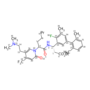 CCOC(=O)C[C@H](NC(=O)C(CCC(C)C)n1cc(CCN(C)C)c(C(F)(F)F)cc1=O)c1cc(-c2c(C)cccc2C)cc(C)c1F